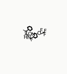 C[C@@H](NC(=O)[C@H](C)[C@@H](C)c1ccccc1)c1ccc(OCC(F)(F)F)cn1